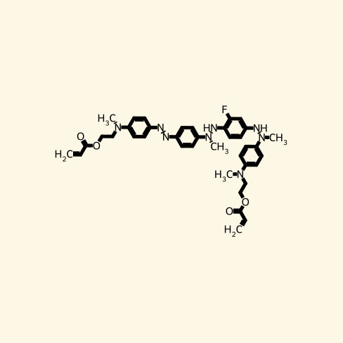 C=CC(=O)OCCN(C)c1ccc(/N=N/c2ccc(N(C)Nc3ccc(NN(C)c4ccc(N(C)CCOC(=O)C=C)cc4)cc3F)cc2)cc1